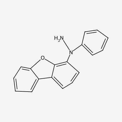 NN(c1ccccc1)c1cccc2c1oc1ccccc12